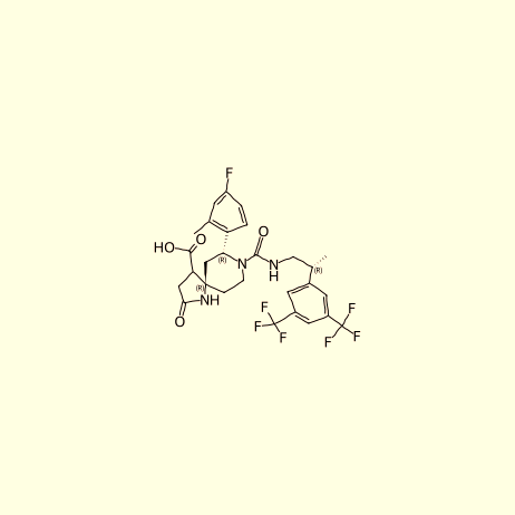 Cc1cc(F)ccc1[C@H]1C[C@@]2(CCN1C(=O)NC[C@H](C)c1cc(C(F)(F)F)cc(C(F)(F)F)c1)NC(=O)CC2C(=O)O